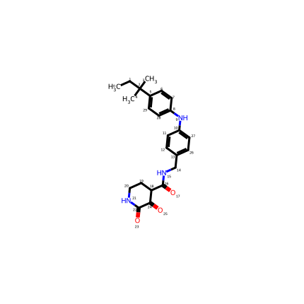 CCC(C)(C)c1ccc(Nc2ccc(CNC(=O)C3CCNC(=O)C3=O)cc2)cc1